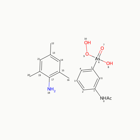 CC(=O)Nc1cccc([As](=O)(O)OO)c1.Cc1cc(C)c(N)c(C)c1